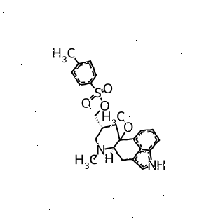 COC12C[C@@H](COS(=O)(=O)c3ccc(C)cc3)CN(C)[C@@H]1Cc1c[nH]c3cccc2c13